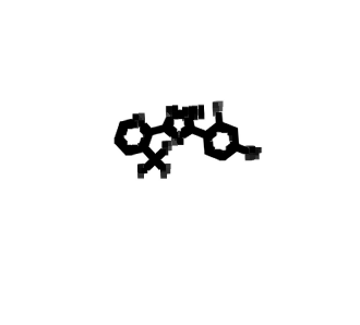 Fc1cc(Br)ccc1-c1nc(-c2ncccc2C(F)(F)F)n[nH]1